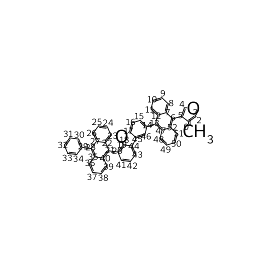 Cc1cocc1-c1c2ccccc2c(-c2ccc3oc4c(-c5c6ccccc6c(-c6ccccc6)c6ccccc56)cccc4c3c2)c2ccccc12